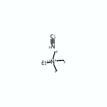 CC[N+](C)(C)C.[C-]#N